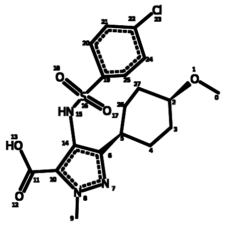 CO[C@H]1CC[C@@H](c2nn(C)c(C(=O)O)c2NS(=O)(=O)c2ccc(Cl)cc2)CC1